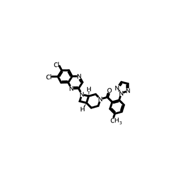 Cc1ccc(-n2nccn2)c(C(=O)N2CC[C@H]3CN(c4cnc5cc(Cl)c(Cl)cc5n4)[C@H]3C2)c1